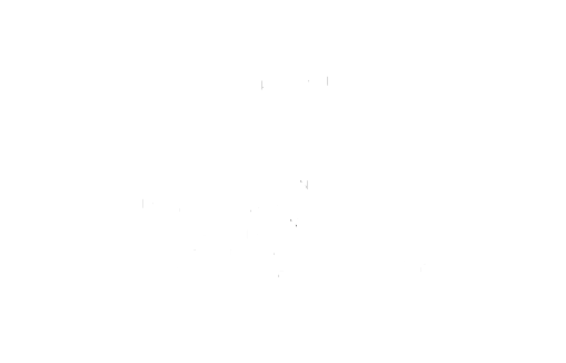 COCC(C)(C)COCC(C)(C)CN1C(=O)/C(=C/c2cc(F)c(O)c(I)c2)N=C1/C=C/c1ccc(Cl)cc1